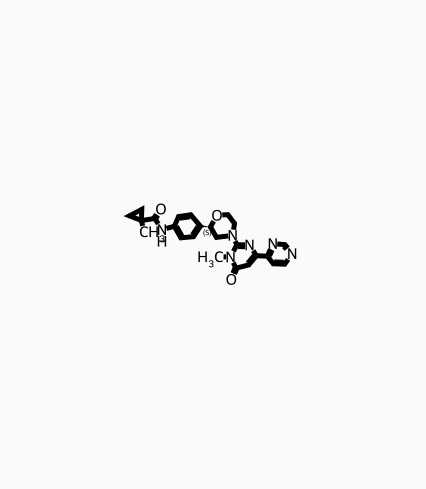 Cn1c(N2CCO[C@@H](c3ccc(NC(=O)C4(C)CC4)cc3)C2)nc(-c2ccncn2)cc1=O